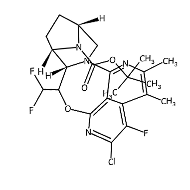 Cc1nc2c3c(nc(Cl)c(F)c3c1C)OC(C(F)F)[C@@H]1[C@@H]3CC[C@H](CN21)N3C(=O)OC(C)(C)C